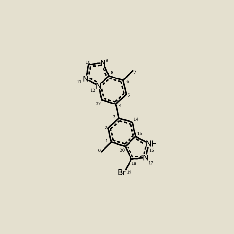 Cc1cc(-c2cc(C)c3ncnn3c2)cc2[nH]nc(Br)c12